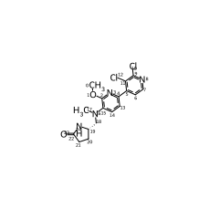 COc1nc(-c2ccnc(Cl)c2Cl)ccc1N(C)C[C@@H]1CCC(=O)N1